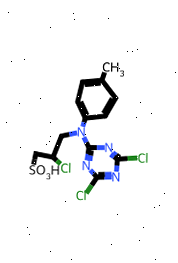 Cc1ccc(N(CC(Cl)CS(=O)(=O)O)c2nc(Cl)nc(Cl)n2)cc1